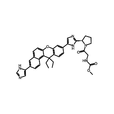 CCC1(CC)c2ccc(-c3cnc([C@H]4CCCN4C(=O)CNC(=O)OC)[nH]3)cc2Oc2ccc3cc(-c4cnc[nH]4)ccc3c21